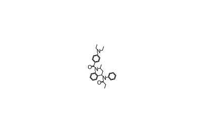 CCC(=O)N(c1ccccc1)C1CC(C)N(C(=O)c2ccc(N(CC)CC)cc2)c2ccccc21